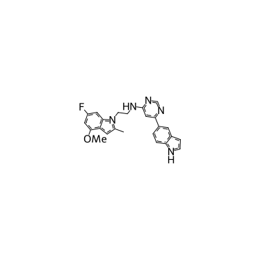 COc1cc(F)cc2c1cc(C)n2CCNc1cc(-c2ccc3[nH]ccc3c2)ncn1